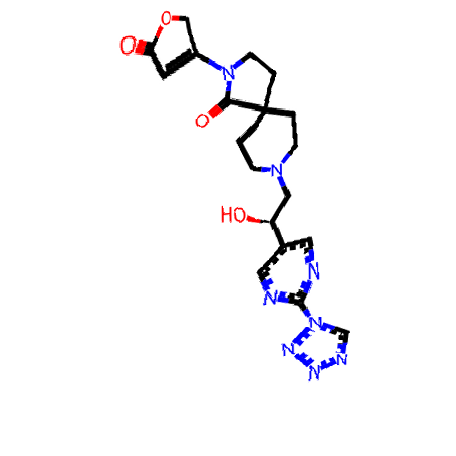 O=C1C=C(N2CCC3(CCN(C[C@H](O)c4cnc(-n5cnnn5)nc4)CC3)C2=O)CO1